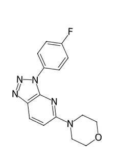 Fc1ccc(-n2nnc3ccc(N4CCOCC4)nc32)cc1